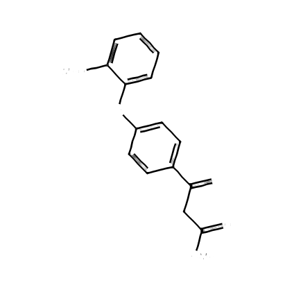 COC(=O)CC(=O)c1ccc(Oc2ccccc2OC)cc1